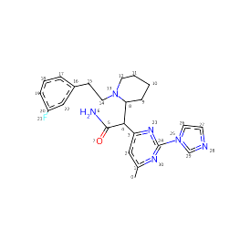 Cc1cc(C(C(N)=O)C2CCCCN2CCc2cccc(F)c2)nc(-n2ccnc2)n1